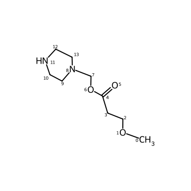 COCCC(=O)OCN1CCNCC1